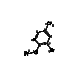 CC(C)Oc1ncc(C(F)(F)F)cc1Br